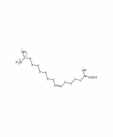 CCCCCCCCN(CCC)CCCC/C=C\CCCCCCCC(N)N